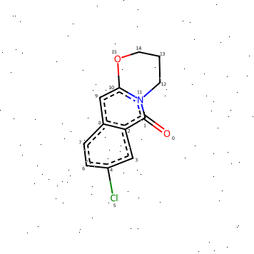 O=c1c2cc(Cl)ccc2cc2n1CCCO2